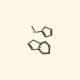 C1=Cc2ccccc2C1.[CH3][Zr][C]1=CC=CC1